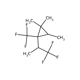 CC(C(F)(F)F)C1(C(F)(F)F)C(C)C1(C)C